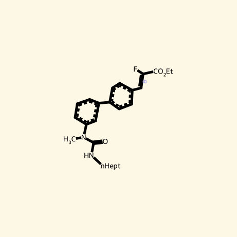 CCCCCCCNC(=O)N(C)c1cccc(-c2ccc(/C=C(\F)C(=O)OCC)cc2)c1